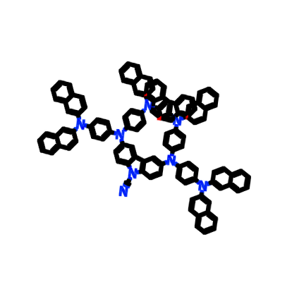 N#Cn1c2ccc(N(c3ccc(N(c4ccc5ccccc5c4)c4ccc5ccccc5c4)cc3)c3ccc(N(c4ccc5ccccc5c4)c4ccc5ccccc5c4)cc3)cc2c2cc(N(c3ccc(N(c4ccc5ccccc5c4)c4ccc5ccccc5c4)cc3)c3ccc(N(c4ccc5ccccc5c4)c4ccc5ccccc5c4)cc3)ccc21